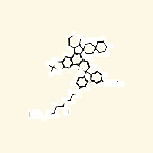 C/C=C\C1c2c(c3c(c4cc5c(cc24)OC(C)(C)S5)OC(c2ccc(OC)cc2)(c2ccc(OCCOC(=O)CCC(=O)O)cc2)C=C3)C2(CCC3(CCCCC3)CC2)C1C